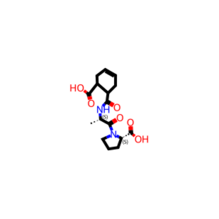 C[C@H](NC(=O)C1CC=CCC1C(=O)O)C(=O)N1CCC[C@H]1C(=O)O